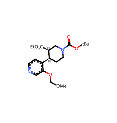 CCOC(=O)[C@H]1CN(C(=O)OC(C)(C)C)CC[C@H]1c1ccncc1OCOC